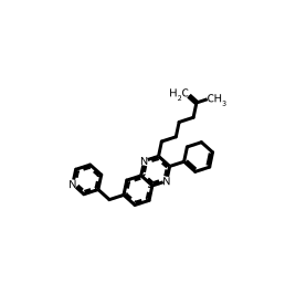 C=C(C)CCCCc1nc2cc(Cc3cccnc3)ccc2nc1C1=CC=CCC1